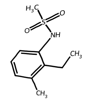 CCc1c(C)cccc1NS(C)(=O)=O